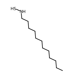 CCCCCCCCCCCCNS